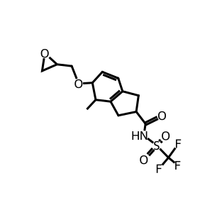 CC1C2=C(C=CC1OCC1CO1)CC(C(=O)NS(=O)(=O)C(F)(F)F)C2